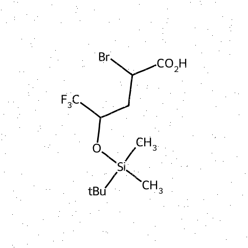 CC(C)(C)[Si](C)(C)OC(CC(Br)C(=O)O)C(F)(F)F